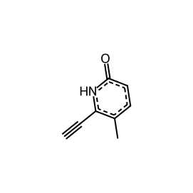 C#Cc1[nH]c(=O)ccc1C